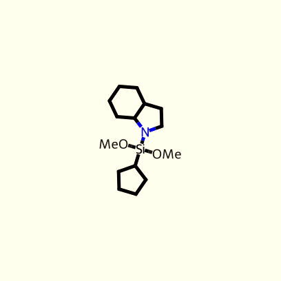 CO[Si](OC)(C1CCCC1)N1CCC2CCCCC21